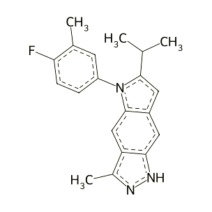 Cc1cc(-n2c(C(C)C)cc3cc4[nH]nc(C)c4cc32)ccc1F